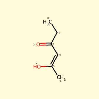 CCC(=O)C=C(C)O